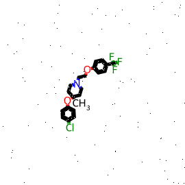 CC1(Oc2ccc(Cl)cc2)CCN(CCOc2ccc(C(F)(F)F)cc2)CC1